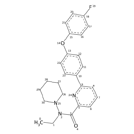 CCN(C(=O)c1cccc(-c2ccc(Oc3ccc(F)cc3)cc2)n1)N1CCCCC1